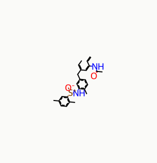 C=C/C(=C\C(=C/C)Cc1ccc(C)c(N[S+]([O-])c2cc(C)ccc2C)c1)NC(C)=O